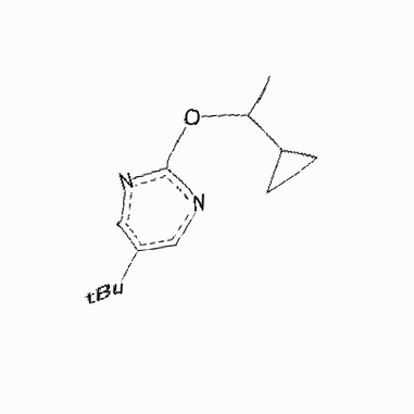 CC(Oc1ncc(C(C)(C)C)cn1)C1CC1